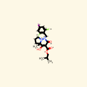 CC(C)COC(=O)C1=C(O)C2(C)CCCN2N(Cc2c(F)cc(I)cc2F)C1=O